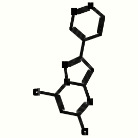 Clc1cc(Cl)n2nc(-c3ccnnc3)cc2n1